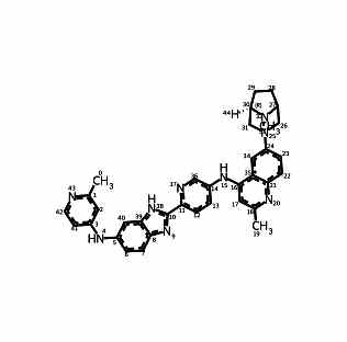 Cc1cc(Nc2ccc3nc(-c4ccc(Nc5cc(C)nc6ccc(N7CC8CC[C@H](C7)N8C)cc56)cn4)[nH]c3c2)ccn1